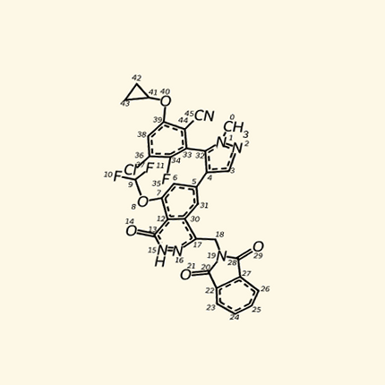 Cn1ncc(-c2cc(OC(F)F)c3c(=O)[nH]nc(CN4C(=O)c5ccccc5C4=O)c3c2)c1-c1c(F)c(Cl)cc(OC2CC2)c1C#N